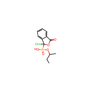 CCC(C)OP(=O)(O)C1(Cl)OC(=O)c2ccccc21